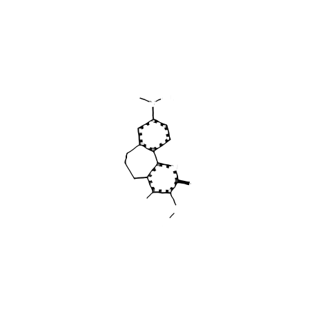 CN(C)c1ccc2c(c1)CCCc1c-2[nH]c(=O)c(OC(=O)O)c1O